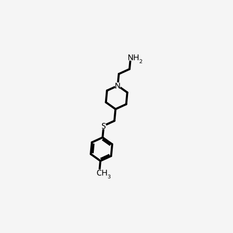 Cc1ccc(SCC2CCN(CCN)CC2)cc1